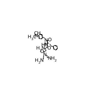 CN(C)c1ccc(CNC(=O)[C@H](CCc2ccccc2)NC(=O)[C@@H](N)CC(=O)N(CCN)CCN)cc1